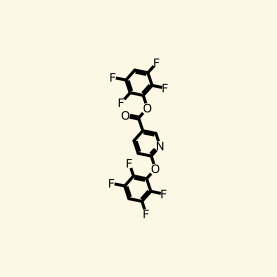 O=C(Oc1c(F)c(F)cc(F)c1F)c1ccc(Oc2c(F)c(F)cc(F)c2F)nc1